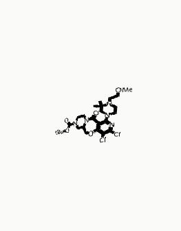 COCCN1CCN(c2nc(Cl)c(Cl)c3c2C(=O)N2CCN(C(=O)OC(C)(C)C)CC2CO3)CC1(C)C